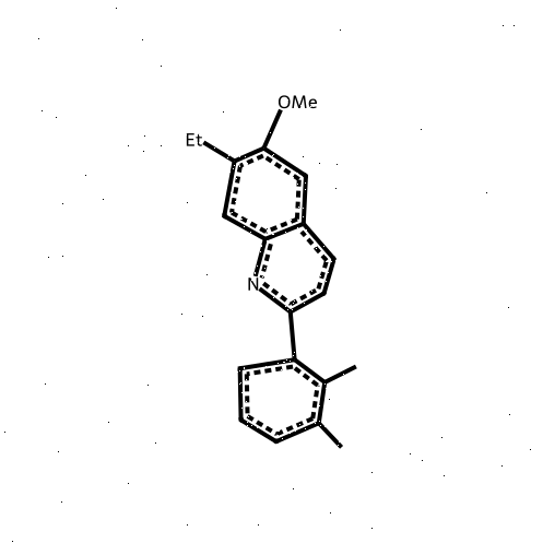 CCc1cc2nc(-c3cccc(C)c3C)ccc2cc1OC